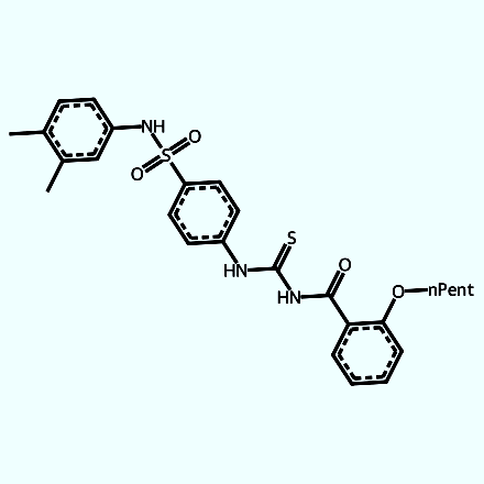 CCCCCOc1ccccc1C(=O)NC(=S)Nc1ccc(S(=O)(=O)Nc2ccc(C)c(C)c2)cc1